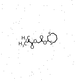 C=C(C)C(=O)OCC(=O)OC1CSCCCCS1